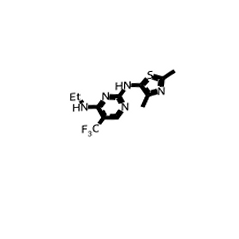 CCNc1nc(Nc2sc(C)nc2C)ncc1C(F)(F)F